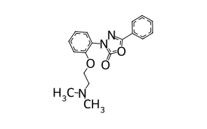 CN(C)CCOc1ccccc1-n1nc(-c2ccccc2)oc1=O